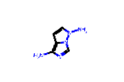 Nc1ncn2c1ccn2N